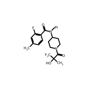 Cc1ccc(C(=O)N(C(C)C)C2CCN(C(=O)C(C)(O)C(F)(F)F)CC2)c(F)c1